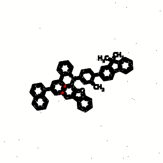 CC1C=C(N(c2ccccc2-c2cccc(-c3cccc4ccccc34)c2)c2cccc3c2oc2ccccc23)C=CC1c1ccc2c(c1)C(C)(C)c1ccccc1-2